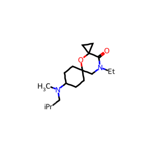 CCN1CC2(CCC(N(C)CC(C)C)CC2)OC2(CC2)C1=O